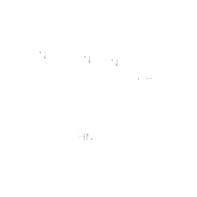 Cc1ccc(C(=O)NC2CC2)cc1-c1cn(-c2cccnc2)cn1